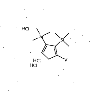 C[Si](C)(C)C1=CC[C]([V])=C1[Si](C)(C)C.Cl.Cl.Cl